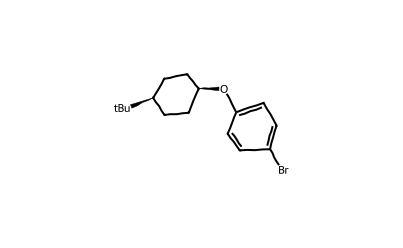 CC(C)(C)[C@H]1CC[C@@H](Oc2ccc(Br)cc2)CC1